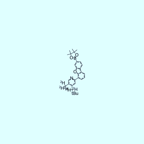 [2H]C([2H])([2H])c1cnc(-c2cccc3c2oc2cc(B4OC(C)(C)C(C)(C)O4)ccc23)cc1C([2H])([2H])C(C)(C)C